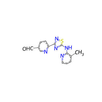 Cc1cccnc1Nc1nc(-c2ccc(C=O)cn2)ns1